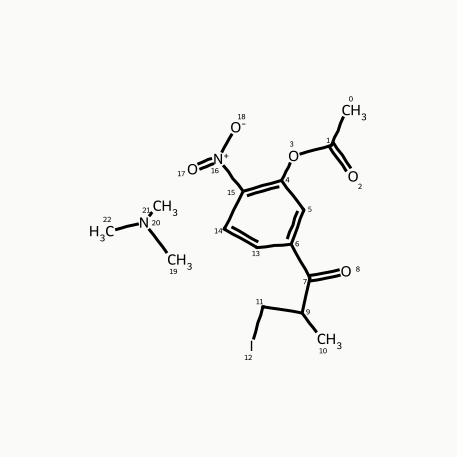 CC(=O)Oc1cc(C(=O)C(C)CI)ccc1[N+](=O)[O-].CN(C)C